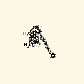 C[C@@H](C(=O)N[C@H](C(=O)N1C[C@@H](OCCOCCOCCOCCOCc2ccccc2)C[C@H]1C(=O)O)C(C)(C)C)N(C)C(=O)OC(C)(C)C